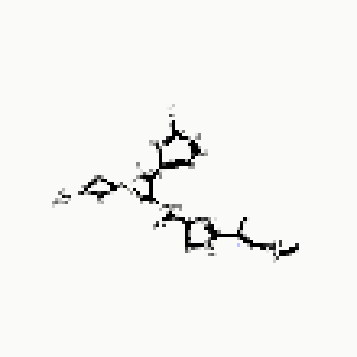 C=NN/C=C(\C)c1nc(C(=O)Nc2cn([C@H]3C[C@@H](O)C3)nc2-c2cccc(F)n2)cs1